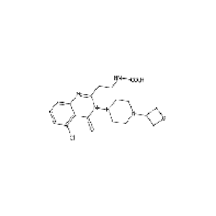 O=C(O)NCCc1nc2cccc(Cl)c2c(=O)n1N1CCN(C2COC2)CC1